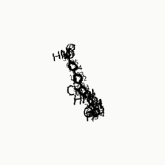 O=c1[nH]cc(-c2ccc(-c3ccc(-c4cc5nc(OC6CO[C@@H]7CCO[C@H]67)[nH]c5cc4Cl)cc3)cc2)o1